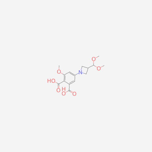 COc1cc(N2CC(C(OC)OC)C2)cc(C(=O)O)c1C(=O)O